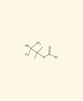 CCC(=O)OC(C)(C)C(O)(C(F)(F)F)C(F)(F)F